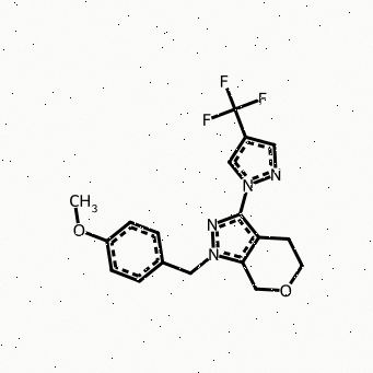 COc1ccc(Cn2nc(-n3cc(C(F)(F)F)cn3)c3c2COCC3)cc1